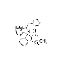 CC#N.CCN([C@@H](Cc1ccccc1)C(=O)O)C(c1ccccc1)(c1ccccc1)c1ccccc1